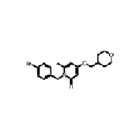 Cc1cc(OCC2CCOCC2)cc(=O)n1Cc1ccc(Br)cc1